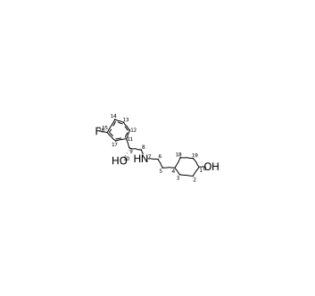 OC1CCC(CCNC[C@H](O)c2cccc(F)c2)CC1